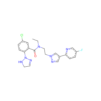 CCN(CCn1cc(-c2ccc(F)cn2)cn1)C(=O)c1cc(Cl)ccc1N1N=CCN1